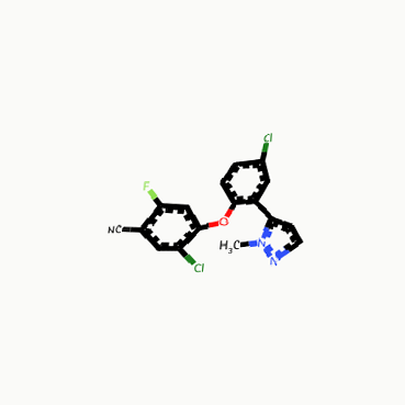 Cn1nccc1-c1cc(Cl)ccc1Oc1cc(F)c(C#N)cc1Cl